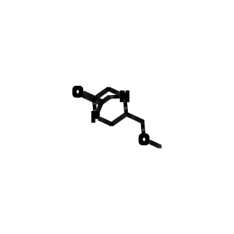 COCC1CP2CCN1CC2=O